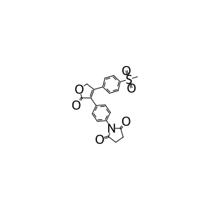 CS(=O)(=O)c1ccc(C2=C(c3ccc(N4C(=O)CCC4=O)cc3)C(=O)OC2)cc1